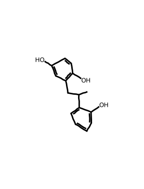 CC(Cc1cc(O)ccc1O)c1ccccc1O